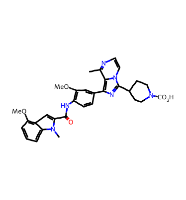 COc1cc(-c2nc(C3CCN(C(=O)O)CC3)n3ccnc(C)c23)ccc1NC(=O)c1cc2c(OC)cccc2n1C